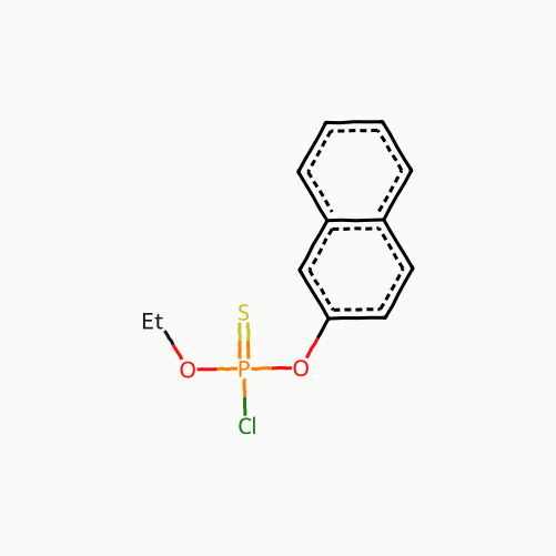 CCOP(=S)(Cl)Oc1ccc2ccccc2c1